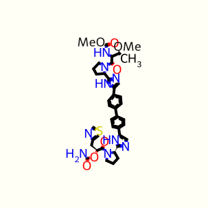 COC(=O)NC(C(=O)N1CCCC1c1ncc(-c2ccc(-c3ccc(-c4cnc([C@@H]5CCCN5C(=O)[C@H](Cc5cscn5)OC(N)=O)[nH]4)cc3)cc2)[nH]1)[C@@H](C)OC